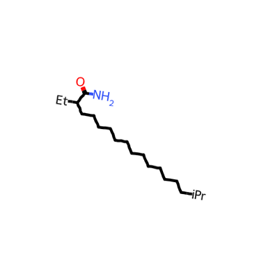 CCC(CCCCCCCCCCCCCC(C)C)C(N)=O